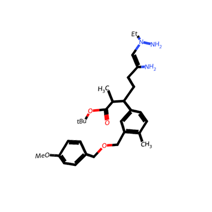 CCN(N)/C=C(\N)CCC(c1ccc(C)c(COCc2ccc(OC)cc2)c1)C(C)C(=O)OC(C)(C)C